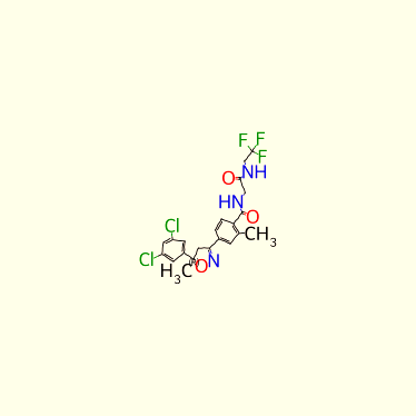 Cc1cc(C2=NO[C@@](C)(c3cc(Cl)cc(Cl)c3)C2)ccc1C(=O)NCC(=O)NCC(F)(F)F